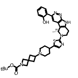 C[C@@H]1c2c([nH]c3nnc(-c4ccccc4O)cc23)CCN1c1ncc(C2CCN(C3CC4(C3)CN(C(=O)OC(C)(C)C)C4)CC2)s1